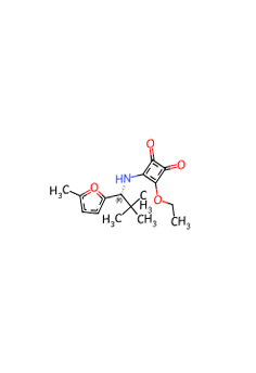 CCOc1c(N[C@@H](c2ccc(C)o2)C(C)(C)C)c(=O)c1=O